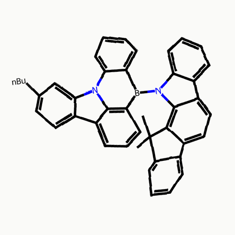 CCCCc1ccc2c3cccc4c3n(c2c1)-c1ccccc1B4n1c2ccccc2c2ccc3c(c21)C(C)(C)c1ccccc1-3